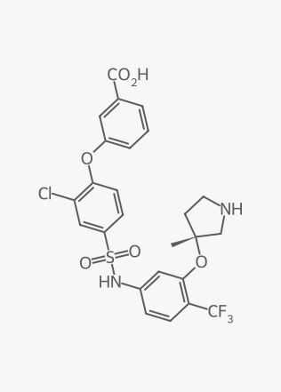 C[C@@]1(Oc2cc(NS(=O)(=O)c3ccc(Oc4cccc(C(=O)O)c4)c(Cl)c3)ccc2C(F)(F)F)CCNC1